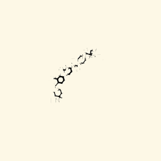 CC1(N)CCN(Cc2ccc(-n3ccc(NC(=O)N4CCN(C(=O)[C@@](C)(N)CO)CC4)nc3=O)cc2Cl)CC1